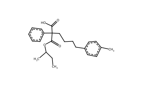 CCC(C)OC(=O)C(CCCCc1ccc(C)cc1)(C(=O)O)c1ccccc1